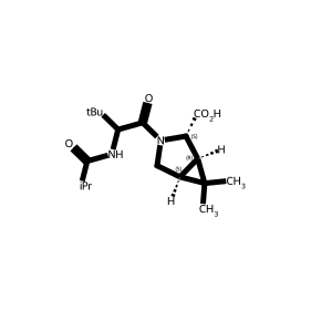 CC(C)C(=O)NC(C(=O)N1C[C@H]2[C@@H]([C@H]1C(=O)O)C2(C)C)C(C)(C)C